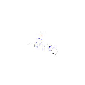 CS(=O)(=O)c1nc(NCc2nc3c(F)cccc3[nH]2)n2ncc(Br)c2n1